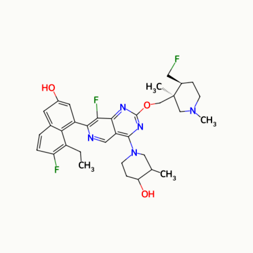 CCc1c(F)ccc2cc(O)cc(-c3ncc4c(N5CCC(O)C(C)C5)nc(OC[C@]5(C)CN(C)CC[C@@H]5CF)nc4c3F)c12